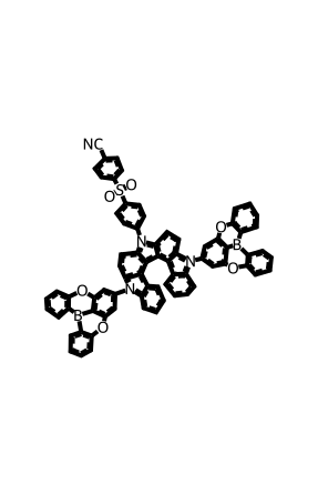 N#Cc1ccc(S(=O)(=O)c2ccc(-n3c4ccc5c(c6ccccc6n5-c5cc6c7c(c5)Oc5ccccc5B7c5ccccc5O6)c4c4c5c6ccccc6n(-c6cc7c8c(c6)Oc6ccccc6B8c6ccccc6O7)c5ccc43)cc2)cc1